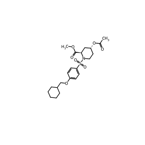 COC(=O)[C@H]1C[C@H](OC(C)=O)CCN1S(=O)(=O)c1ccc(OCC2CCCCC2)cc1